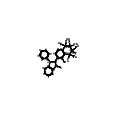 Cc1c(C2N(C)c3ccccc3N2c2ccccc2)ccc2c1C(F)(F)C(F)(F)C(F)(F)C2(F)F